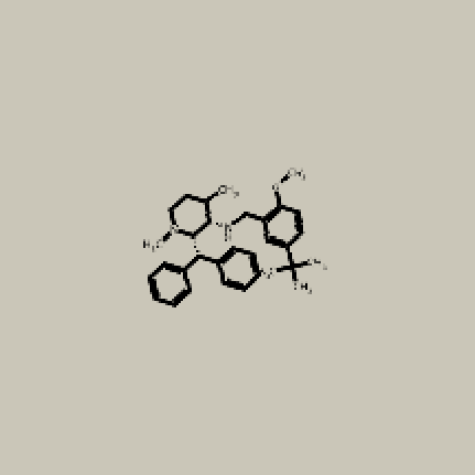 COc1ccc(C(C)(C)C)cc1CN[C@H]1C(C)CCN(C)[C@H]1C(c1ccccc1)c1ccccc1